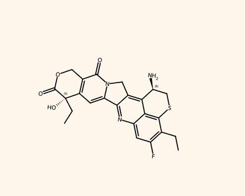 CCc1c(F)cc2nc3c(c4c2c1SC[C@@H]4N)Cn1c-3cc2c(c1=O)COC(=O)[C@]2(O)CC